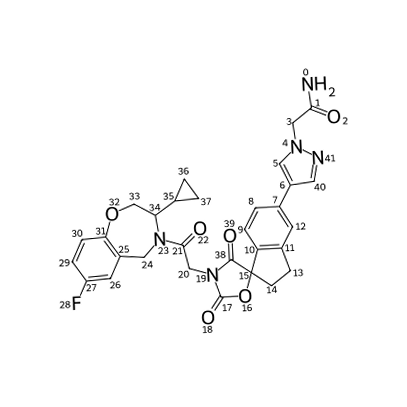 NC(=O)Cn1cc(-c2ccc3c(c2)CCC32OC(=O)N(CC(=O)N3Cc4cc(F)ccc4OCC3C3CC3)C2=O)cn1